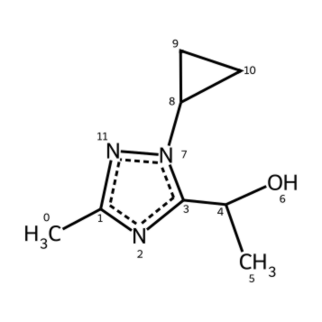 Cc1nc(C(C)O)n(C2CC2)n1